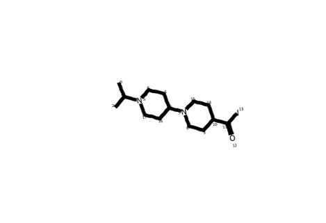 CC(C)N1CCC(N2CCC(C(=O)I)CC2)CC1